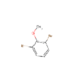 COc1c(Br)cccc1Br